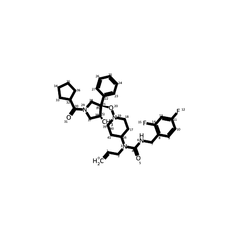 C=CCN(C(=O)NCc1ccc(F)cc1F)C1CCN(O[C@]2(c3ccccc3)CN(C(=O)C3CCCC3)C[C@@H]2C)CC1